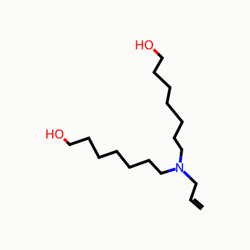 C=CCN(CCCCCCCO)CCCCCCCO